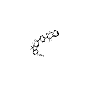 COc1ccc2c(c1)/C(=C/C(=O)c1ccc(C(=O)Nc3cccc[n+]3[O-])cc1)NC2(C)C